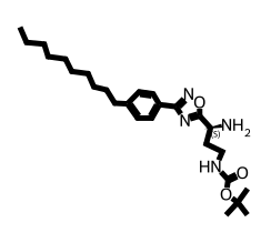 CCCCCCCCCCc1ccc(-c2noc([C@@H](N)CCNC(=O)OC(C)(C)C)n2)cc1